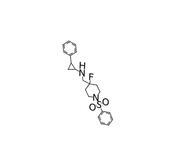 O=S(=O)(c1ccccc1)N1CCC(F)(CNC2CC2c2ccccc2)CC1